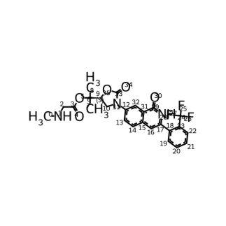 CNCC(=O)OC(C)(C)[C@@H]1CN(c2ccc3cc(-c4ccccc4C(F)(F)F)[nH]c(=O)c3c2)C(=O)O1